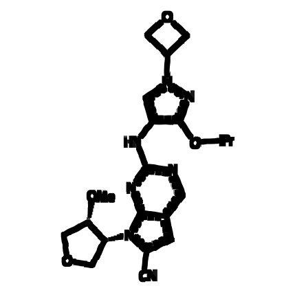 CO[C@H]1COC[C@H]1n1c(C#N)cc2cnc(Nc3cn(C4COC4)nc3OC(C)C)nc21